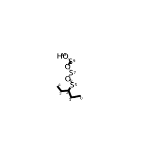 CCC(CC)SOSOSO